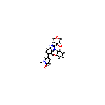 Cn1cc(-c2ccc3[nH]c(C4(O)CCOCC4)nc3c2Oc2ccccc2)ccc1=O